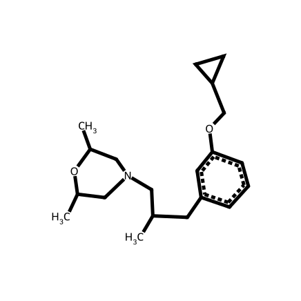 CC(Cc1cccc(OCC2CC2)c1)CN1CC(C)OC(C)C1